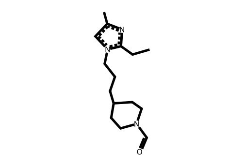 CCc1nc(C)cn1CCCC1CCN(C=O)CC1